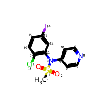 CS(=O)(=O)N(c1ccncc1)c1cc(I)ccc1Cl